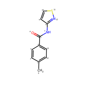 Cc1ccc(C(=O)Nc2ccsn2)cc1